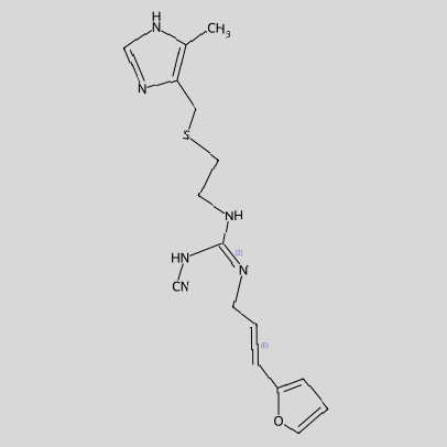 Cc1[nH]cnc1CSCCN/C(=N/C/C=C/c1ccco1)NC#N